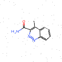 Cc1c(C(N)=O)nnc2ccccc12